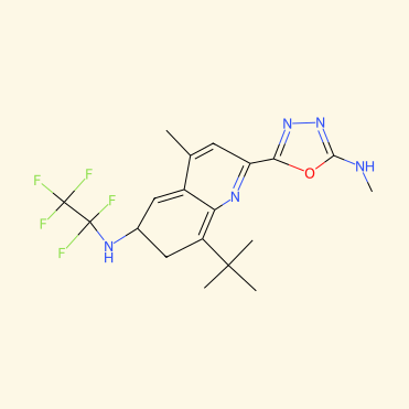 CNc1nnc(-c2cc(C)c3c(n2)=C(C(C)(C)C)CC(NC(F)(F)C(F)(F)F)C=3)o1